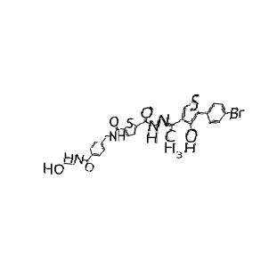 C/C(=N\NC(=O)c1ccc(C(=O)NCc2ccc(C(=O)NCCO)cc2)s1)c1csc(-c2ccc(Br)cc2)c1O